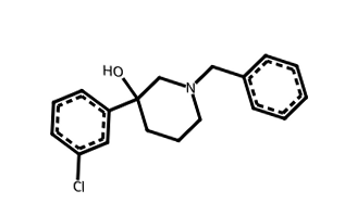 OC1(c2cccc(Cl)c2)CCCN(Cc2ccccc2)C1